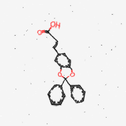 O=C(O)/C=C/c1ccc2c(c1)OC(c1ccccc1)(c1ccccc1)O2